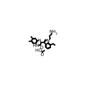 CC(=O)O.CCc1cccc2c(-c3nc4cc(C)c(C)cc4[nH]c3=O)cn(CCCN)c12